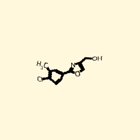 Cc1cc(-c2nc(CO)co2)ccc1Cl